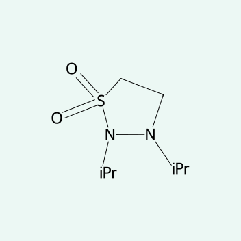 CC(C)N1CCS(=O)(=O)N1C(C)C